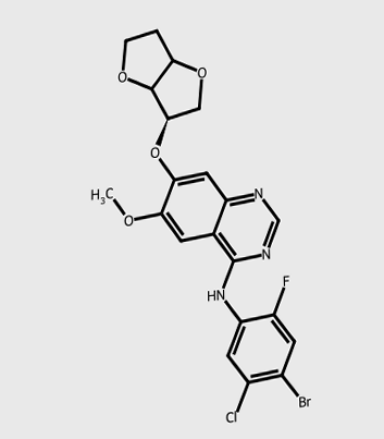 COc1cc2c(Nc3cc(Cl)c(Br)cc3F)ncnc2cc1O[C@@H]1COC2CCOC21